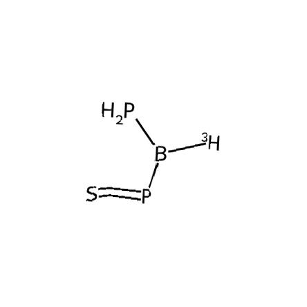 [3H]B(P)P=S